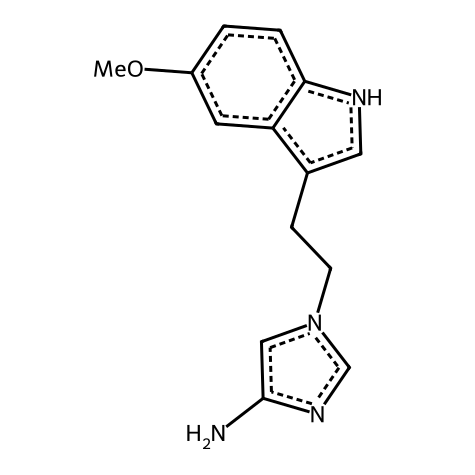 COc1ccc2[nH]cc(CCn3cnc(N)c3)c2c1